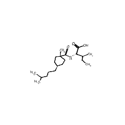 CCC(C)[C@H](NC(=O)[C@]1(C)CC[C@@H](CCCC(C)C)CC1)C(=O)O